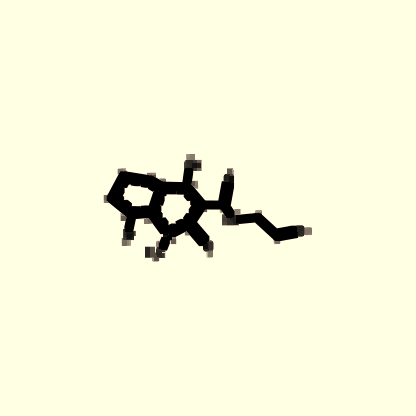 Cn1c(=O)c(C(=O)NCC=O)c(O)c2cccc(Br)c21